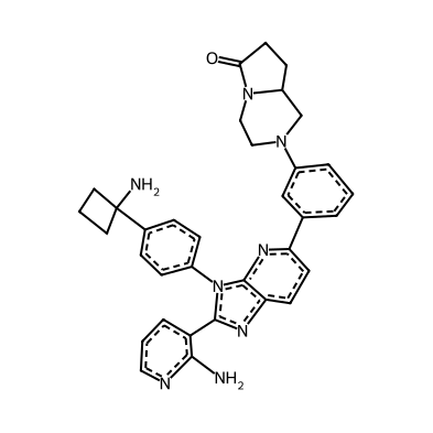 Nc1ncccc1-c1nc2ccc(-c3cccc(N4CCN5C(=O)CCC5C4)c3)nc2n1-c1ccc(C2(N)CCC2)cc1